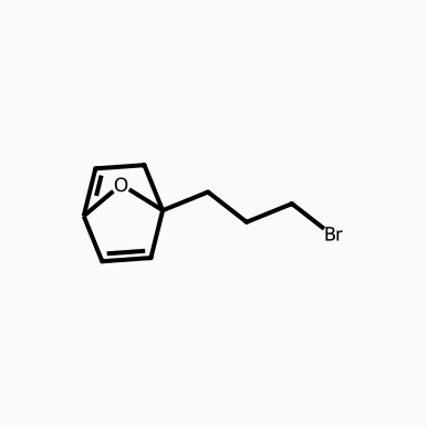 BrCCCC12C=CC(=CC1)O2